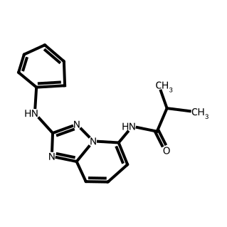 CC(C)C(=O)Nc1cccc2nc(Nc3ccccc3)nn12